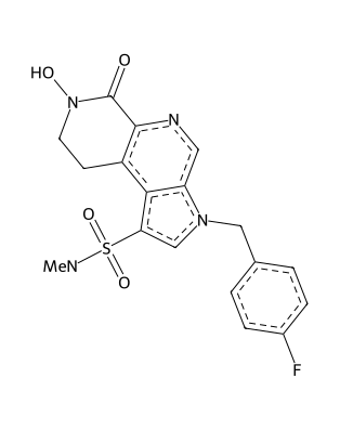 CNS(=O)(=O)c1cn(Cc2ccc(F)cc2)c2cnc3c(c12)CCN(O)C3=O